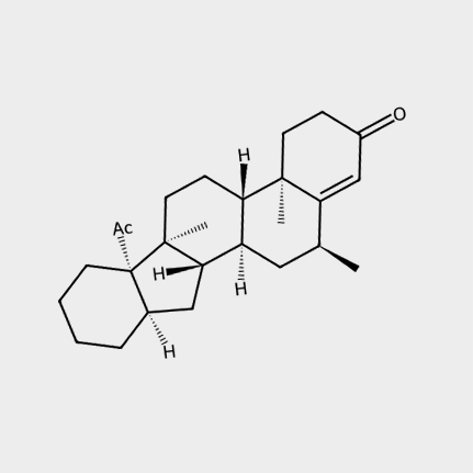 CC(=O)[C@@]12CCCC[C@@H]1C[C@H]1[C@@H]3C[C@H](C)C4=CC(=O)CC[C@]4(C)[C@H]3CC[C@@]12C